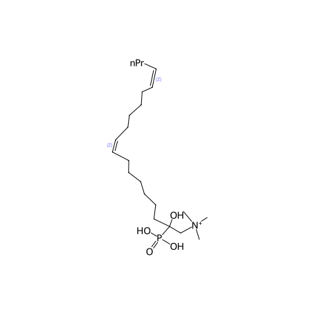 CCC/C=C\CCCC/C=C\CCCCCCC(O)(C[N+](C)(C)C)P(=O)(O)O